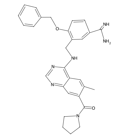 Cc1cc2c(NCc3cc(C(=N)N)ccc3OCc3ccccc3)ncnc2cc1C(=O)N1CCCC1